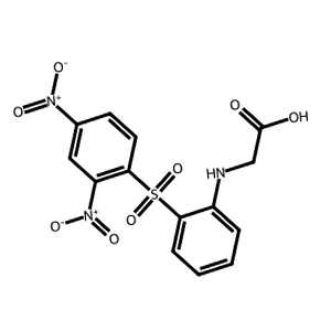 O=C(O)CNc1ccccc1S(=O)(=O)c1ccc([N+](=O)[O-])cc1[N+](=O)[O-]